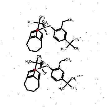 CCc1cc(C(C)(C)C)ccc1OP(=O)([O-])Oc1c2cc(C(C)(C)C)cc1CCCC2.CCc1cc(C(C)(C)C)ccc1OP(=O)([O-])Oc1c2cc(C(C)(C)C)cc1CCCC2.[Ca+2]